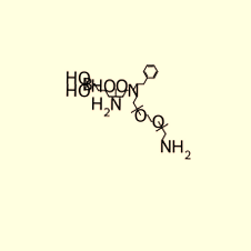 CC(C)(CCN)OCCOC(C)(C)CCN(CCc1ccccc1)CCC(N)(CCCCB(O)O)C(=O)O